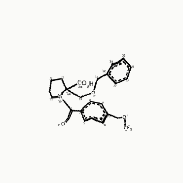 O=C(c1ccc(OC(F)(F)F)cc1)N1CCCC1(COCc1ccccc1)C(=O)O